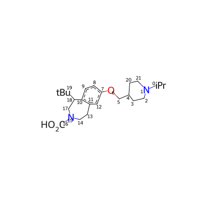 CC(C)N1CCC(COc2ccc3c(c2)CCN(C(=O)O)CC3C(C)(C)C)CC1